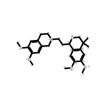 COc1cc2c(cc1OC)CN(CCC1OCC(C)(C)c3cc(OC)c(OC)cc31)CC2